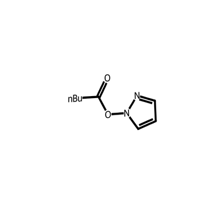 CCCCC(=O)On1cccn1